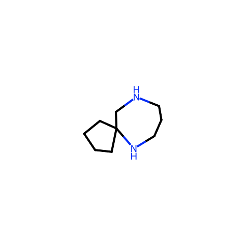 C1CNCC2(CCCC2)NC1